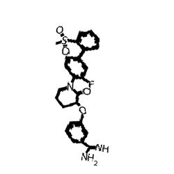 CS(=O)(=O)c1ccccc1-c1ccc(N2CCCC(Oc3cccc(C(=N)N)c3)C2=O)c(F)c1